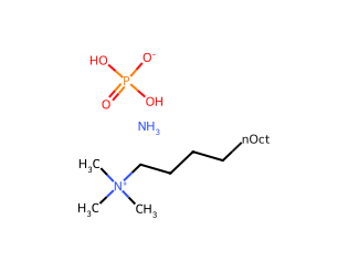 CCCCCCCCCCCC[N+](C)(C)C.N.O=P([O-])(O)O